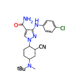 CN(C1CCC(n2cc(C(N)=O)c(Nc3ccc(Cl)cc3)n2)C(C#N)C1)C(C)(C)C